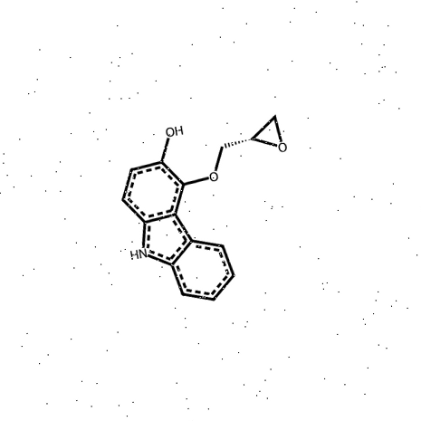 Oc1ccc2[nH]c3ccccc3c2c1OC[C@@H]1CO1